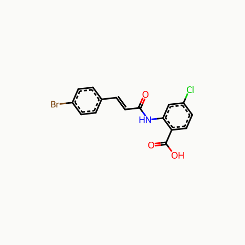 O=C(C=Cc1ccc(Br)cc1)Nc1cc(Cl)ccc1C(=O)O